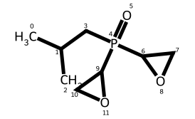 CC(C)CP(=O)(C1CO1)C1CO1